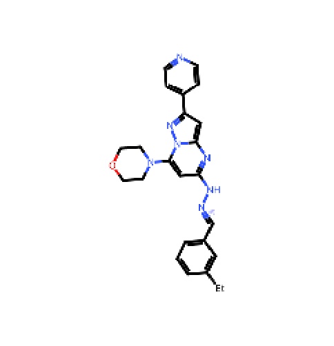 CCc1cccc(/C=N/Nc2cc(N3CCOCC3)n3nc(-c4ccncc4)cc3n2)c1